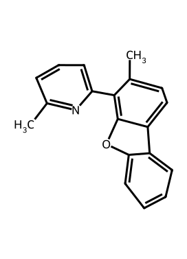 Cc1cccc(-c2c(C)ccc3c2oc2ccccc23)n1